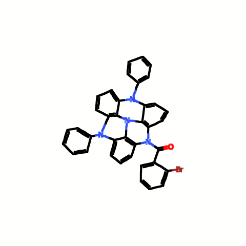 O=C(c1ccccc1Br)N1c2cccc3c2N2c4c1cccc4N(c1ccccc1)c1cccc(c12)N3c1ccccc1